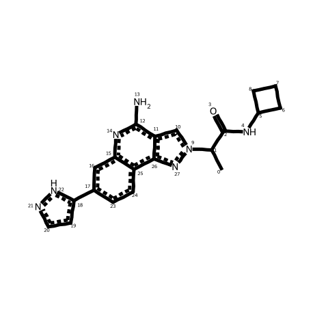 CC(C(=O)NC1CCC1)n1cc2c(N)nc3cc(-c4ccn[nH]4)ccc3c2n1